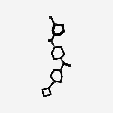 O=C([C@H]1CC[C@@H](Nc2cccc(Cl)c2)CC1)N1CCN(C2CCC2)CC1